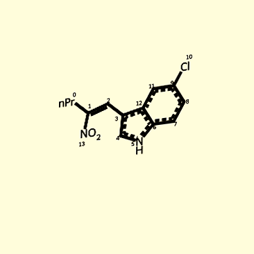 CCCC(=Cc1c[nH]c2ccc(Cl)cc12)[N+](=O)[O-]